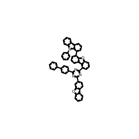 c1ccc(-c2ccc(-c3nc(-c4ccc5c(c4)oc4ccccc45)nc(-c4cccc5oc6c(-c7cccc8c9ccccc9n(-c9ccccc9)c78)cccc6c45)n3)cc2)cc1